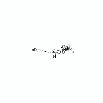 CCCCCCCCCCCCCCCCCC(=O)Nc1ccc(S(=O)(=O)NC(=O)[C@@H]2CCCN2P)cc1